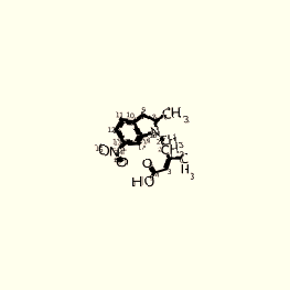 CC(C)=CC(=O)O.CC1Cc2ccc([N+](=O)[O-])cc2N1C